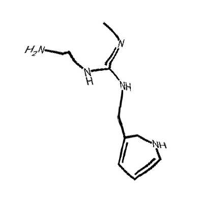 C/N=C(\NCN)NCc1ccc[nH]1